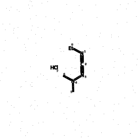 CCN=C=NN(C)C.Cl